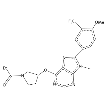 CCC(=O)N1CCC(Oc2ncnc3c2nc(-c2ccc(OC)c(C(F)(F)F)c2)n3C)C1